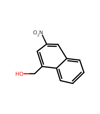 O=[N+]([O-])c1cc(CO)c2ccccc2c1